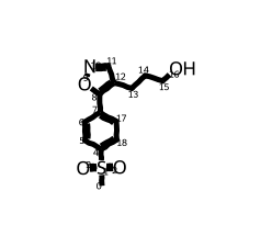 CS(=O)(=O)c1ccc(-c2oncc2CCCO)cc1